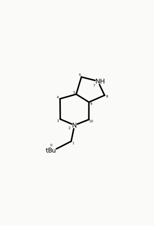 CC(C)(C)CN1CCC2CNCC2C1